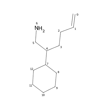 C=CCCC(CN)C1CCCCC1